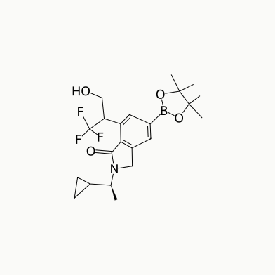 C[C@@H](C1CC1)N1Cc2cc(B3OC(C)(C)C(C)(C)O3)cc(C(CO)C(F)(F)F)c2C1=O